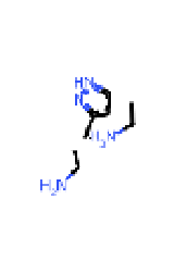 CCN.CCN.[CH2]c1cc[nH]n1